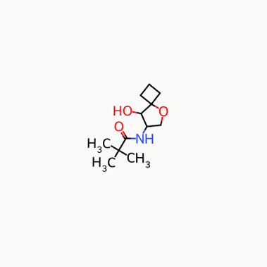 CC(C)(C)C(=O)NC1COC2(CCC2)C1O